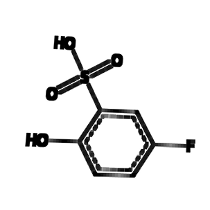 O=S(=O)(O)c1cc(F)ccc1O